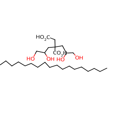 CCCCCCCCCCCCCCCCCC.O=C(O)CC(CC(O)CO)(CC(O)CO)C(=O)O